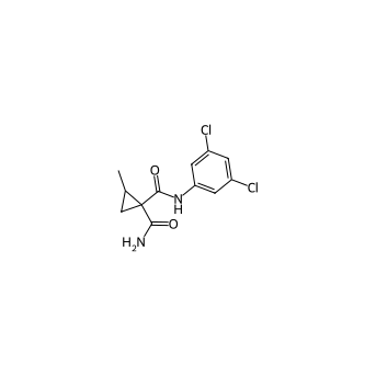 CC1CC1(C(N)=O)C(=O)Nc1cc(Cl)cc(Cl)c1